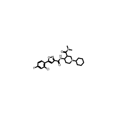 CN(C)C(=O)C1CN(C2CCCCC2)CCC1NC(=O)c1cc(-c2ccc(F)cc2Cl)on1